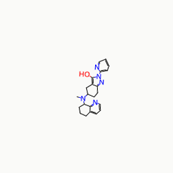 CN(C1CCc2nn(-c3ccccn3)c(O)c2C1)C1CCCc2cccnc21